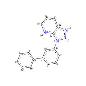 c1ccc(-c2cccc(-n3cnc4cccnc43)c2)cc1